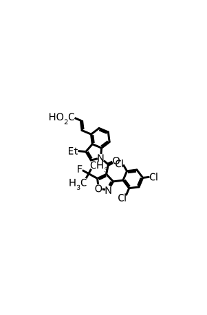 CCc1cn(C(=O)c2c(-c3c(Cl)cc(Cl)cc3Cl)noc2C(C)(C)F)c2cccc(/C=C/C(=O)O)c12